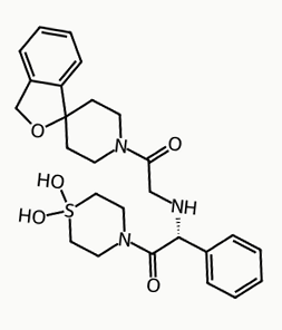 O=C(CN[C@@H](C(=O)N1CCS(O)(O)CC1)c1ccccc1)N1CCC2(CC1)OCc1ccccc12